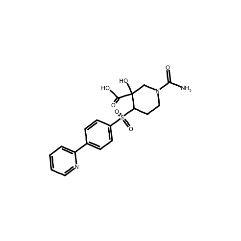 NC(=O)N1CCC(S(=O)(=O)c2ccc(-c3ccccn3)cc2)C(O)(C(=O)O)C1